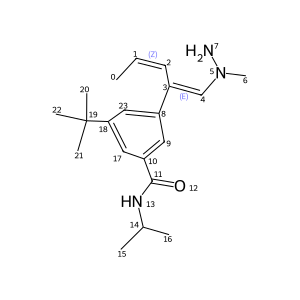 C/C=C\C(=C/N(C)N)c1cc(C(=O)NC(C)C)cc(C(C)(C)C)c1